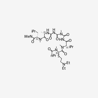 CCCC(=O)N(C)[C@H](SCCN(CC)CC)C(=O)N(C)[C@H](C(=O)NC(=O)N(C)C(=O)NC(=O)N[C@@H](C)C(=O)N(C)[C@@H](CC(C)C)C(=O)NC)C(C)C